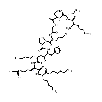 N=C(N)NCC/C=C(\NC(=O)[C@H](CCCCN)NC(=O)C(Cc1cnc[nH]1)NC(=O)[C@@H]1CCCN1C(=O)[C@@H](CCCN)NC(=O)CNC(=O)C(CO)NC(=O)[C@H](CCN)NC(=O)C(N)CCCCN)C(=O)N[C@@H](CCCCN)C(=O)NCCCCN